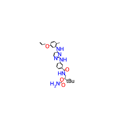 C=CCOc1ccc(C)c(Nc2ccnc(Nc3cccc(C(=O)NCC(OC(N)=O)C(C)(C)C)c3)n2)c1